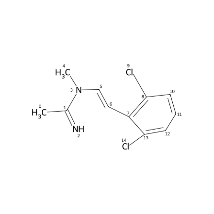 CC(=N)N(C)C=Cc1c(Cl)cccc1Cl